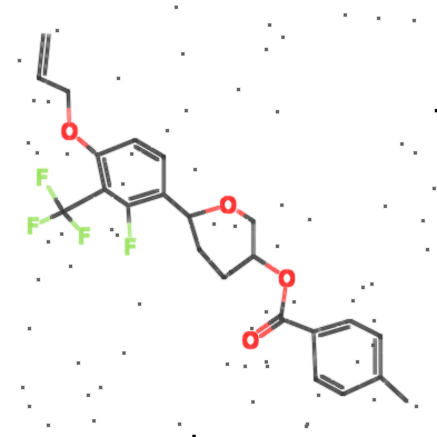 C=CCOc1ccc(C2CCC(OC(=O)c3ccc(C)cc3)CO2)c(F)c1C(F)(F)F